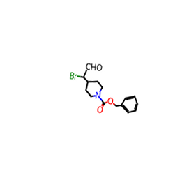 O=CC(Br)C1CCN(C(=O)OCc2ccccc2)CC1